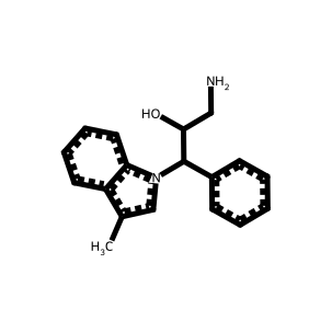 Cc1cn(C(c2ccccc2)C(O)CN)c2ccccc12